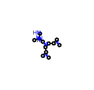 C1=CC(c2nc(-c3ccccc3)nc(-c3ccc(-n4c5ccc(-c6ccc7c(c6)c6ccccc6n7-c6ccccc6)cc5c5cc(-c6ccc7c(c6)c6ccccc6n7-c6ccccc6)ccc54)cc3)n2)=CNC1